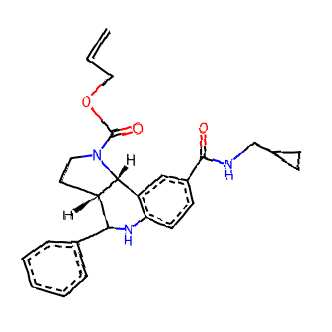 C=CCOC(=O)N1CC[C@H]2C(c3ccccc3)Nc3ccc(C(=O)NCC4CC4)cc3[C@H]21